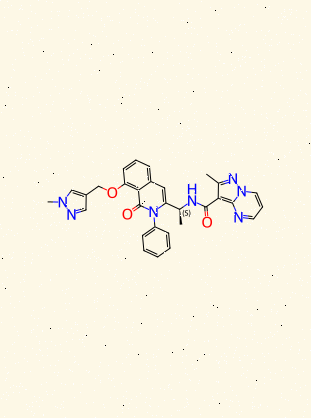 Cc1nn2cccnc2c1C(=O)N[C@@H](C)c1cc2cccc(OCc3cnn(C)c3)c2c(=O)n1-c1ccccc1